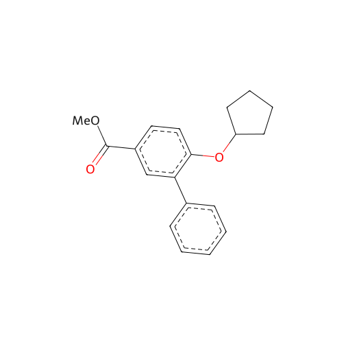 COC(=O)c1ccc(OC2CCCC2)c(-c2ccccc2)c1